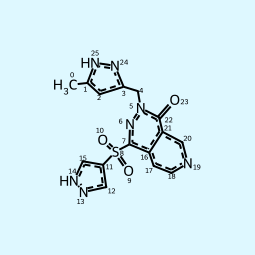 Cc1cc(Cn2nc(S(=O)(=O)c3cn[nH]c3)c3ccncc3c2=O)n[nH]1